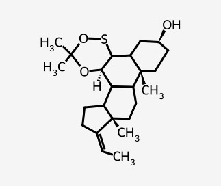 C/C=C1/CCC2C3C(CC[C@]12C)[C@@]1(C)CC[C@H](O)CC1C1SOC(C)(C)O[C@@H]13